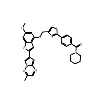 COc1cc(OCc2csc(-c3ccc(C(=O)N4CCCCC4)cc3)n2)c2cc(-c3cn4nc(C)cnc4n3)oc2c1